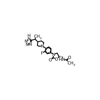 CC(=O)NC[C@H]1CN(c2ccc(N3CCC(C(C)c4nnn[nH]4)CC3)c(F)c2)C(=O)O1